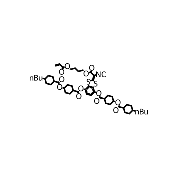 [C-]#[N+]C(C(=O)OCCCCOC(=O)C=C)=C1Sc2c(OC(=O)C3CCC(OC(=O)C4CCC(CCCC)CC4)CC3)ccc(OC(=O)C3CCC(OC(=O)C4CCC(CCCC)CC4)CC3)c2S1